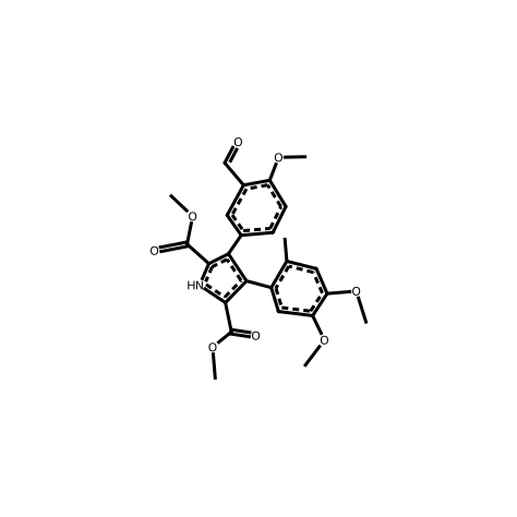 COC(=O)c1[nH]c(C(=O)OC)c(-c2cc(OC)c(OC)cc2C)c1-c1ccc(OC)c(C=O)c1